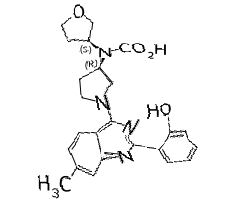 Cc1ccc2c(N3CC[C@@H](N(C(=O)O)[C@H]4CCOC4)C3)nc(-c3ccccc3O)nc2c1